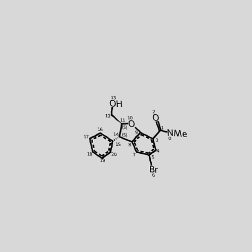 CNC(=O)c1cc(Br)cc2c1O[C@H](CO)[C@H]2c1ccccc1